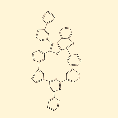 c1ccc(-c2cccc(-c3c(-c4cccc(-c5cccc(-c6cc(-c7ccccc7)nc(-c7ccccc7)n6)c5)c4)oc4c(-c5ccccc5)nc5ccccc5c34)c2)cc1